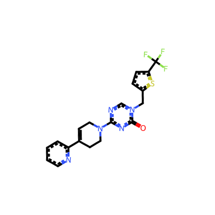 O=c1nc(N2CC=C(c3ccccn3)CC2)ncn1Cc1ccc(C(F)(F)F)s1